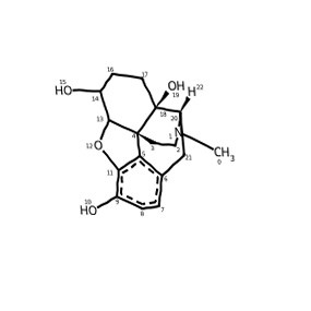 CN1CC[C@@]23c4c5ccc(O)c4OC2C(O)CC[C@]3(O)[C@@H]1C5